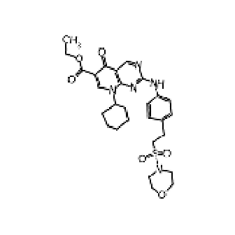 CCOC(=O)c1cn(C2CCCCC2)c2nc(Nc3ccc(CCS(=O)(=O)N4CCOCC4)cc3)ncc2c1=O